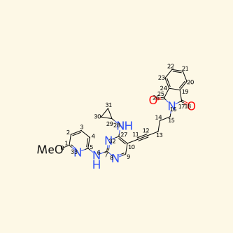 COc1cccc(Nc2ncc(C#CCCCN3C(=O)c4ccccc4C3=O)c(NC3CC3)n2)n1